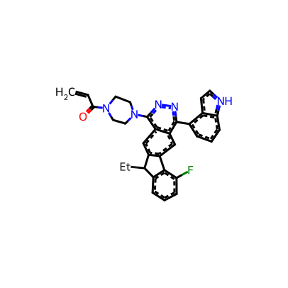 C=CC(=O)N1CCN(c2nnc(-c3cccc4[nH]ccc34)c3cc4c(cc23)C(CC)c2cccc(F)c2-4)CC1